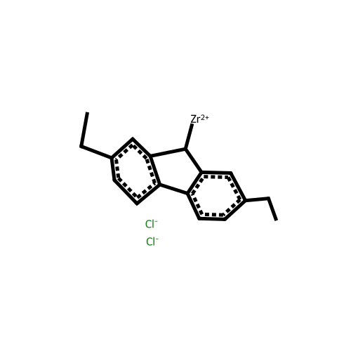 CCc1ccc2c(c1)[CH]([Zr+2])c1cc(CC)ccc1-2.[Cl-].[Cl-]